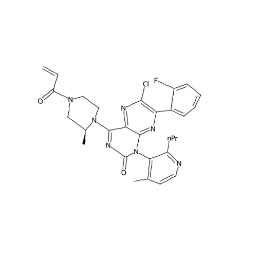 C=CC(=O)N1CCN(c2nc(=O)n(-c3c(C)ccnc3CCC)c3nc(-c4ccccc4F)c(Cl)nc23)[C@@H](C)C1